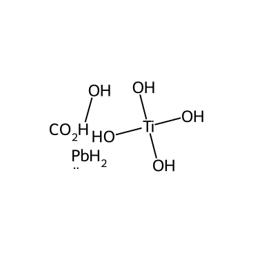 O=C(O)O.[OH][Ti]([OH])([OH])[OH].[PbH2]